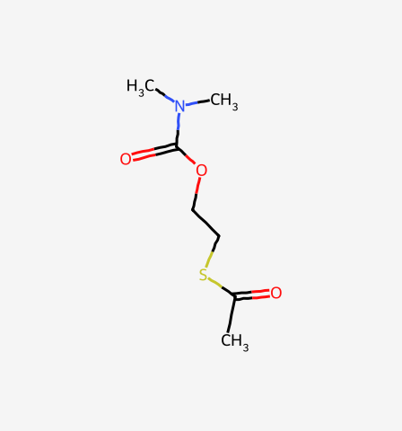 CC(=O)SCCOC(=O)N(C)C